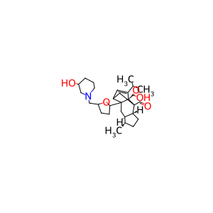 CC(C)C1=CC2CC3(C=O)[C@@H]4CC[C@@H](C)[C@H]4CC2(C2CCC(CN4CCCC(O)C4)O2)C13C(=O)O